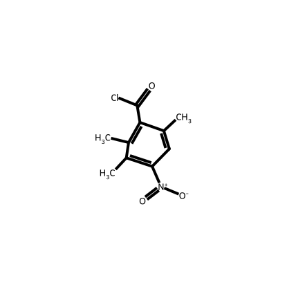 Cc1cc([N+](=O)[O-])c(C)c(C)c1C(=O)Cl